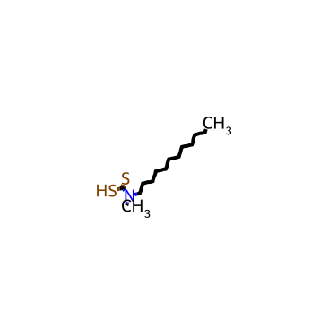 CCCCCCCCCCCCN(C)C(=S)S